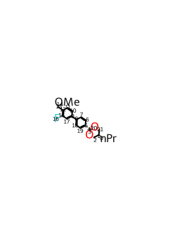 CCC[C@H]1CO[C@H](c2ccc(-c3ccc(COC)c(F)c3)cc2)OC1